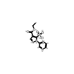 CCOC(=O)c1cnn(-c2cnccn2)c1S(=O)(=O)Cl